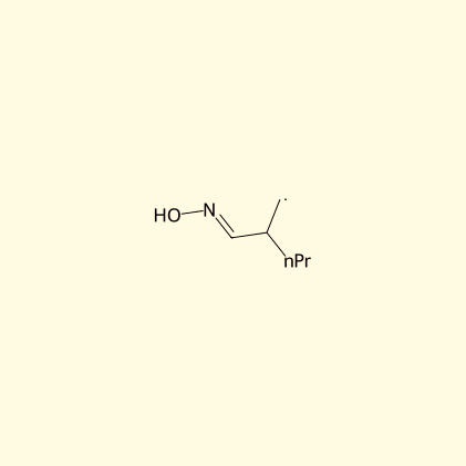 [CH2]C(C=NO)CCC